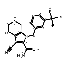 N#Cc1c2c(n(Cc3cccc(C(F)(F)F)c3)c1C(N)=O)CNCC2